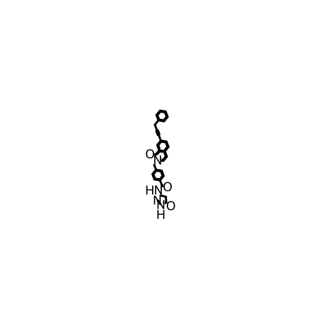 O=C1CC(NC(=O)c2ccc(Cn3ccc4ccc(C#CCc5ccccc5)cc4c3=O)cc2)=NN1